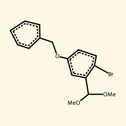 COC(OC)c1cc(OCc2ccccc2)ccc1Br